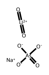 O=[As]([O-])([O-])[O-].[Na+].[O]=[U+2]=[O]